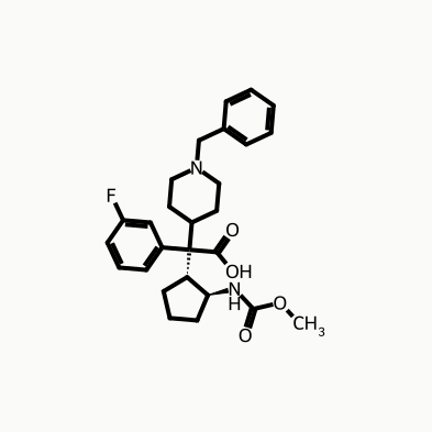 COC(=O)N[C@H]1CCC[C@@H]1C(C(=O)O)(c1cccc(F)c1)C1CCN(Cc2ccccc2)CC1